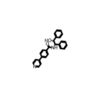 O=C(N[C@@H](c1ccccc1)[C@H](O)c1ccccc1)c1ccc(-c2ccncc2)cc1